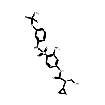 Cc1cc(NC(=O)[C@@H](CO)C2CC2)ccc1S(=O)(=O)Nc1cccc(OC(C)(F)F)c1